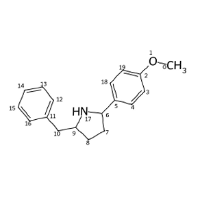 COc1ccc(C2CCC(Cc3ccccc3)N2)cc1